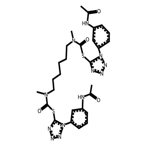 CC(=O)Nc1cccc(-n2nnnc2SC(=O)N(C)CCCCCCN(C)C(=O)Sc2nnnn2-c2cccc(NC(C)=O)c2)c1